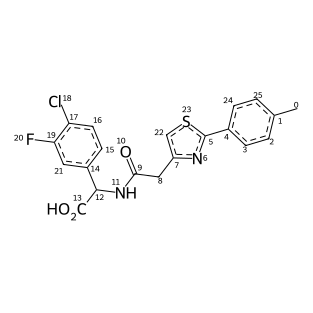 Cc1ccc(-c2nc(CC(=O)NC(C(=O)O)c3ccc(Cl)c(F)c3)cs2)cc1